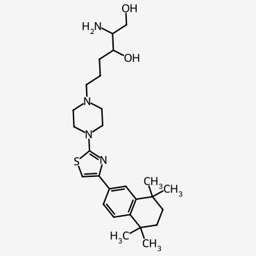 CC1(C)CCC(C)(C)c2cc(-c3csc(N4CCN(CCCC(O)C(N)CO)CC4)n3)ccc21